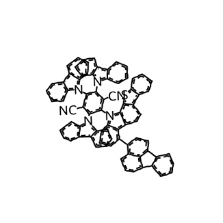 N#Cc1c(-n2c3ccccc3c3ccccc32)c(-n2c3ccccc3c3ccccc32)c(C#N)c(-n2c3cccc(-c4ccc5c6c(cccc46)-c4ccccc4-5)c3c3ccc4c5ccccc5sc4c32)c1-n1c2ccccc2c2ccccc21